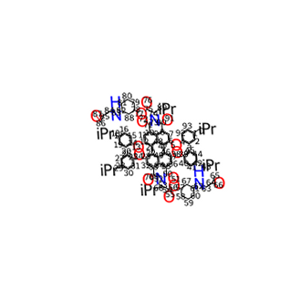 CC(C)c1ccc(Oc2cc3c4c(cc(Oc5ccc(C(C)C)cc5)c5c6c(Oc7ccc(C(C)C)cc7)cc7c8c(cc(Oc9ccc(C(C)C)cc9)c(c2c45)c86)C(=O)N(C(C(=O)OC2CCCC(NCC4CO4)C2)C(C)C)C7=O)C(=O)N(C(C(=O)OC2CCCC(NCC4CO4)C2)C(C)C)C3=O)cc1